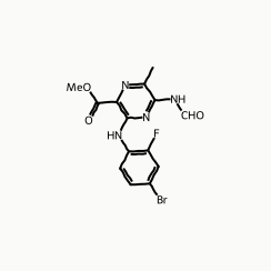 COC(=O)c1nc(C)c(NC=O)nc1Nc1ccc(Br)cc1F